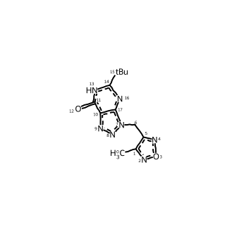 Cc1nonc1Cn1nnc2c(=O)[nH]c(C(C)(C)C)nc21